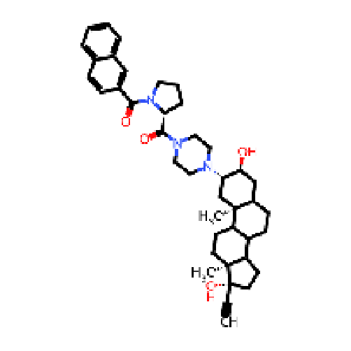 C#C[C@]1(O)CCC2C3CCC4C[C@H](O)[C@@H](N5CCN(C(=O)[C@@H]6CCCN6C(=O)c6ccc7ccccc7c6)CC5)C[C@]4(C)C3CC[C@@]21C